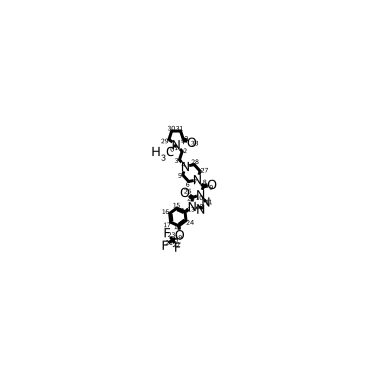 C[N+]1(CCN2CCN(C(=O)n3nnn(-c4cccc(OC(F)(F)F)c4)c3=O)CC2)CCCC1=O